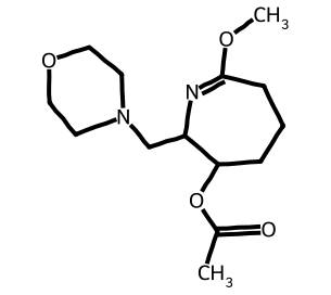 COC1=NC(CN2CCOCC2)C(OC(C)=O)CCC1